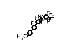 CCC1CCC(c2ccc(-c3cc(F)c(C(F)(F)Oc4cc(F)c(C(F)(F)F)c(F)c4)c(F)c3)c(F)c2)CC1